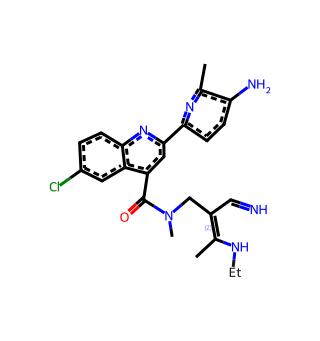 CCN/C(C)=C(\C=N)CN(C)C(=O)c1cc(-c2ccc(N)c(C)n2)nc2ccc(Cl)cc12